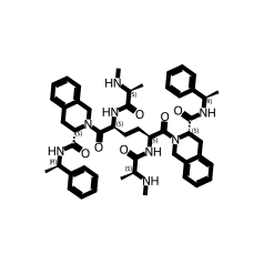 CN[C@@H](C)C(=O)N[C@@H](CC[C@H](NC(=O)[C@H](C)NC)C(=O)N1Cc2ccccc2C[C@H]1C(=O)N[C@H](C)c1ccccc1)C(=O)N1Cc2ccccc2C[C@H]1C(=O)N[C@H](C)c1ccccc1